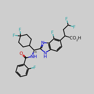 O=C(N[C@H](c1nc2c(F)c(C(CC(F)F)C(=O)O)ccc2[nH]1)C1CCC(F)(F)CC1)c1ccccc1F